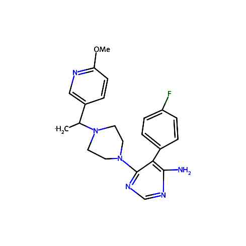 [CH2]C(c1ccc(OC)nc1)N1CCN(c2ncnc(N)c2-c2ccc(F)cc2)CC1